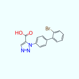 O=C(O)c1cnnn1-c1ccc(-c2ccccc2Br)cc1